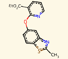 CCOC(=O)c1cccnc1Oc1ccc2sc(C)nc2c1